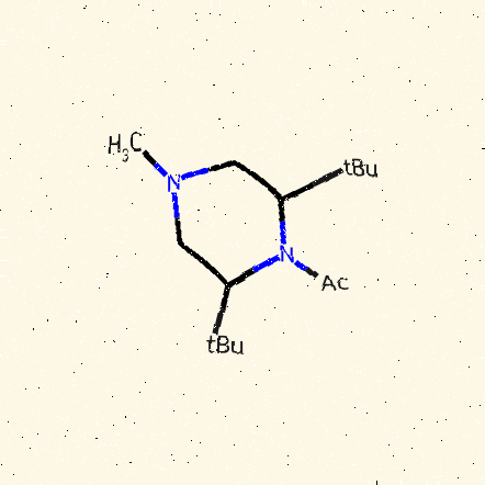 CC(=O)N1C(C(C)(C)C)CN(C)CC1C(C)(C)C